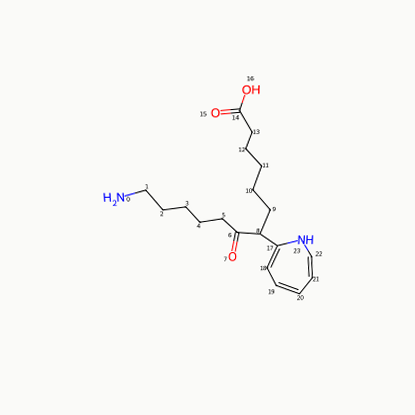 NCCCCCC(=O)C(CCCCCC(=O)O)C1=CC=CC=CN1